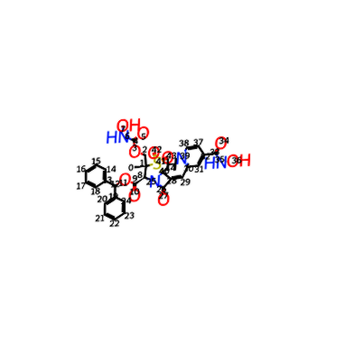 C[C@]1(COC(=O)NO)[C@H](C(=O)OC(c2ccccc2)c2ccccc2)N2C(=O)/C(=C/c3cc(C(=O)NO)ccn3)[C@H]2S1(=O)=O